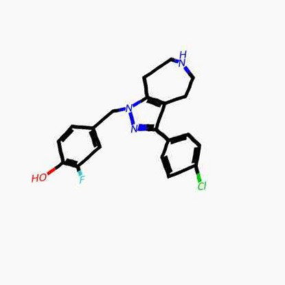 Oc1ccc(Cn2nc(-c3ccc(Cl)cc3)c3c2CCNCC3)cc1F